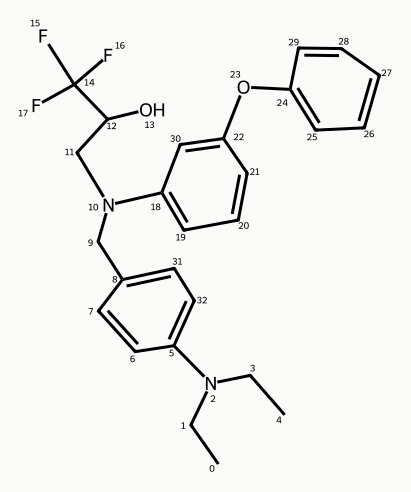 CCN(CC)c1ccc(CN(CC(O)C(F)(F)F)c2cccc(Oc3ccccc3)c2)cc1